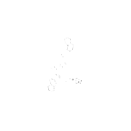 CC(C)C[C@@H]1CN(C(=O)[C@H](N)Cc2ccc3ccccc3c2)C(CCCNn2cnnc2)CN1C(=O)[C@H](N)Cc1ccc2ccccc2c1